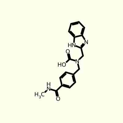 CNC(=O)c1ccc(CN(Cc2nc3ccccc3[nH]2)C(=O)O)cc1